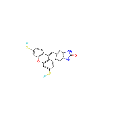 O=c1[nH]c2ccc(C=C3c4ccc(SF)cc4Oc4cc(SF)ccc43)cc2[nH]1